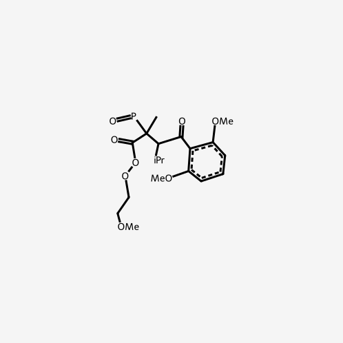 COCCOOC(=O)C(C)(P=O)C(C(=O)c1c(OC)cccc1OC)C(C)C